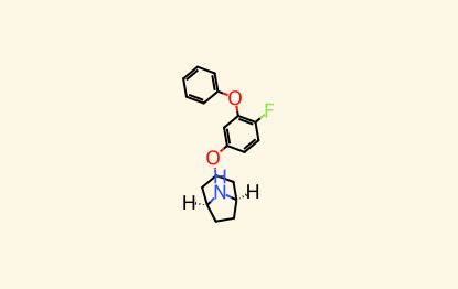 Fc1ccc(O[C@@H]2C[C@H]3CC[C@@H](C2)N3)cc1Oc1ccccc1